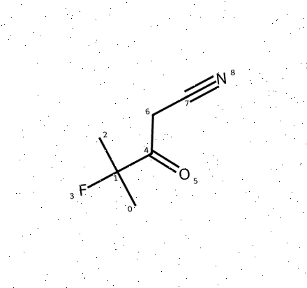 CC(C)(F)C(=O)CC#N